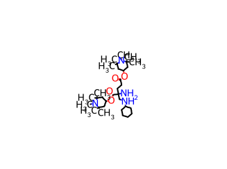 CN1C(C)(C)CC(OC(=O)CCC(N)(CNC2CCCCC2)C(=O)OC2CC(C)(C)N(C)C(C)(C)C2)CC1(C)C